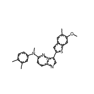 COc1cc2sc(-c3cnc4ccc(N(C)c5ccc(C)c(C)c5)nn34)cc2cc1C